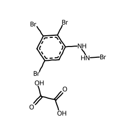 BrNNc1cc(Br)cc(Br)c1Br.O=C(O)C(=O)O